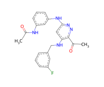 CC(=O)Nc1cccc(Nc2cc(NCc3cccc(F)c3)c(C(C)=O)nn2)c1